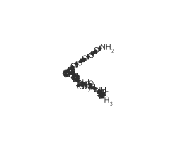 Cc1ccnc(NCCCC(=O)NCC(=O)N[C@@H](CC(=O)O)c2ccc(-c3cc(OCCOCCOCCOCCOCCN)cc4ccccc34)cc2)c1